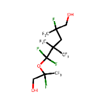 OCC(F)(CC(C(F)(F)F)(C(F)(F)F)C(F)(F)OC(F)(CO)C(F)(F)F)C(F)(F)F